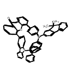 CC1(C)c2ccccc2-c2ccc(N(c3ccc(-c4ccccc4)cc3)c3ccc(-c4cccc5c(=O)c6cccc(-c7ccc8c(c7)c7ccccc7n8-c7ccccc7)c6oc45)cc3)cc21